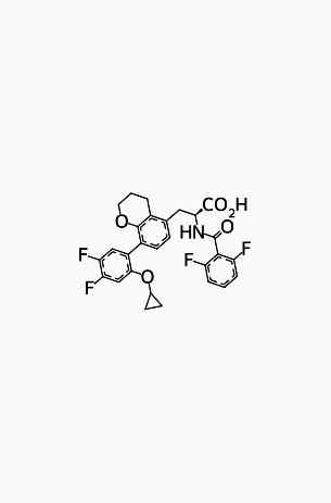 O=C(N[C@@H](Cc1ccc(-c2cc(F)c(F)cc2OC2CC2)c2c1CCCO2)C(=O)O)c1c(F)cccc1F